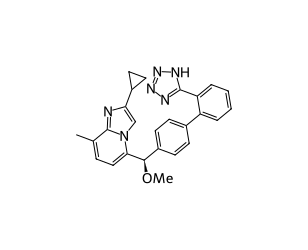 CO[C@H](c1ccc(-c2ccccc2-c2nnn[nH]2)cc1)c1ccc(C)c2nc(C3CC3)cn12